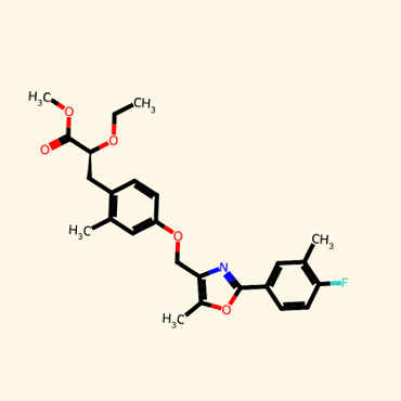 CCO[C@@H](Cc1ccc(OCc2nc(-c3ccc(F)c(C)c3)oc2C)cc1C)C(=O)OC